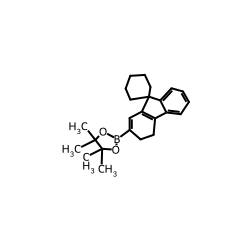 CC1(C)OB(C2=CC3=C(CC2)c2ccccc2C32CCCCC2)OC1(C)C